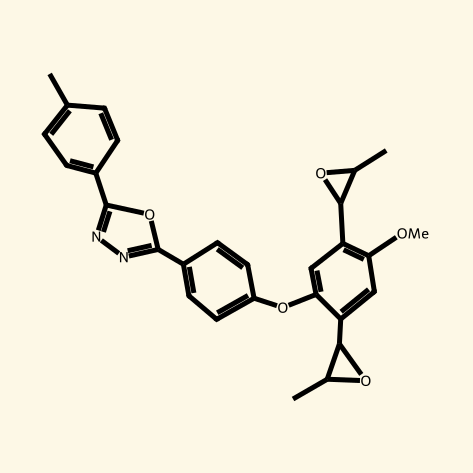 COc1cc(C2OC2C)c(Oc2ccc(-c3nnc(-c4ccc(C)cc4)o3)cc2)cc1C1OC1C